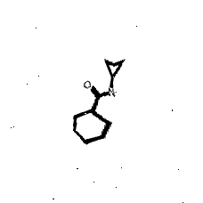 O=C([N]C1CC1)C1CCCCC1